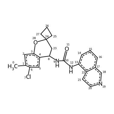 Cc1cc2c(cc1Cl)C(NC(=O)Nc1cccc3cnccc13)CC1(CCC1)O2